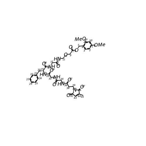 COc1ccc(COC(=O)COCNC(=O)CNC(=O)[C@H](Cc2ccccc2)NC(=O)CNC(=O)CNC(=O)CCN2C(=O)C=C(C)C2=O)c(OC)c1